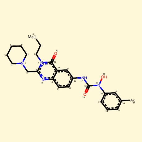 COCCn1c(CN2CCCCC2)nc2ccc(NC(=O)N(O)c3cccc(C(C)=O)c3)cc2c1=O